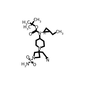 CCC1C[C@H]1N(C(=O)OC(C)(C)C)C1CCN(C2(CC#N)CN(S(N)(=O)=O)C2)CC1